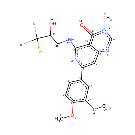 COc1ccc(-c2cc3ncn(C)c(=O)c3c(NCC(O)C(F)(F)F)n2)cc1OC